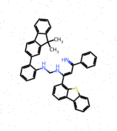 CC1(C)c2ccccc2-c2ccc(-c3ccccc3NCN/C(=C\C(=N)c3ccccc3)c3cccc4c3sc3ccccc34)cc21